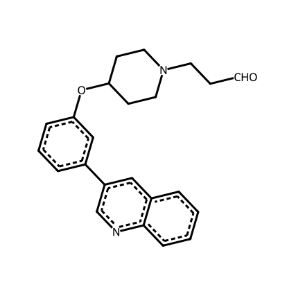 O=CCCN1CCC(Oc2cccc(-c3cnc4ccccc4c3)c2)CC1